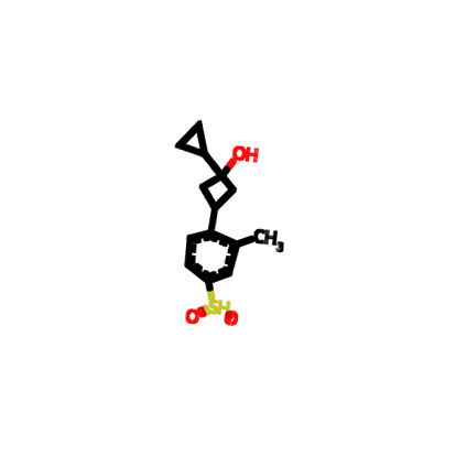 Cc1cc([SH](=O)=O)ccc1C1CC(O)(C2CC2)C1